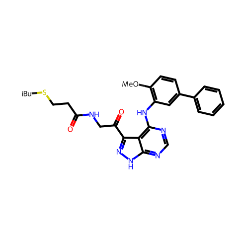 CCC(C)SCCC(=O)NCC(=O)c1n[nH]c2ncnc(Nc3cc(-c4ccccc4)ccc3OC)c12